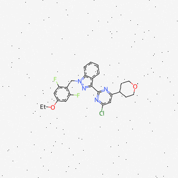 CCOc1cc(F)c(Cn2nc(-c3nc(Cl)cc(C4CCOCC4)n3)c3ccccc32)c(F)c1